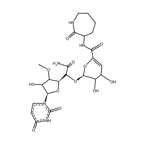 COC1C(O)[C@H](n2ccc(=O)[nH]c2=O)O[C@@H]1C(O[C@H]1OC(C(=O)NC2CCCCNC2=O)=CC(O)C1O)C(N)=O